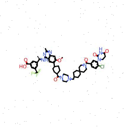 COc1cc2nc(C)nc(N[C@H](C)c3cc(C(=O)O)cc(C(F)(F)F)c3)c2cc1C1CCC(C(=O)N2CCN(CC3CCC4(CC3)CCN(C(=O)c3ccc(Cl)c(N5CCC(=O)NC5=O)c3)CC4)CC2)CC1